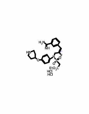 CCOC(=O)CS(=O)(=O)N(C/C(F)=C\c1cccc(C(=N)N)c1)c1ccc(OC2CCNCC2)cc1.Cl.Cl